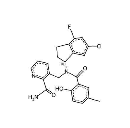 Cc1ccc(O)c(C(=O)N(Cc2cccnc2C(N)=O)[C@@H]2CCc3c(F)cc(Cl)cc32)c1